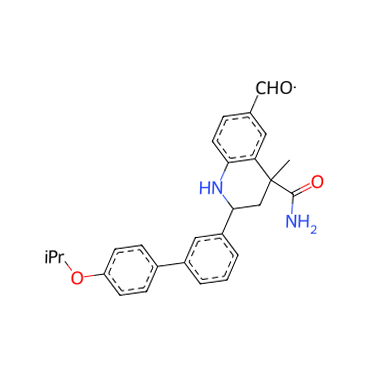 CC(C)Oc1ccc(-c2cccc(C3CC(C)(C(N)=O)c4cc([C]=O)ccc4N3)c2)cc1